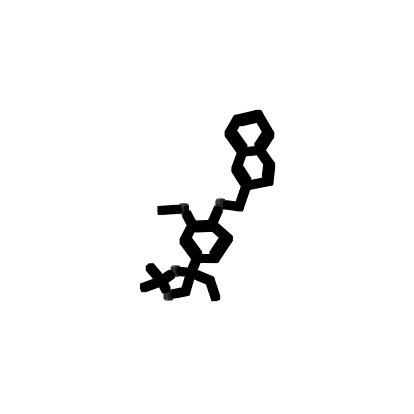 CCC1(c2ccc(OCc3ccc4ccccc4c3)c(OC)c2)COC(C)(C)O1